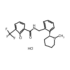 CN1CCCC[C@H]1c1ccccc1CNC(=O)c1cccc(C(F)(F)F)c1Cl.Cl